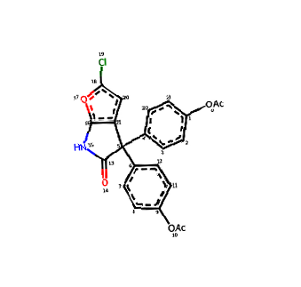 CC(=O)Oc1ccc(C2(c3ccc(OC(C)=O)cc3)C(=O)Nc3oc(Cl)cc32)cc1